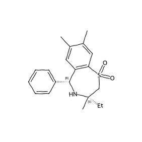 CC[C@@]1(C)CS(=O)(=O)c2cc(C)c(C)cc2[C@@H](c2ccccc2)N1